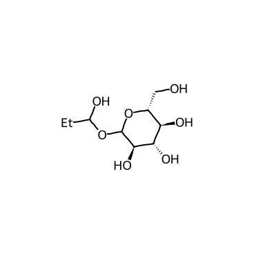 CCC(O)OC1O[C@H](CO)[C@@H](O)[C@H](O)[C@H]1O